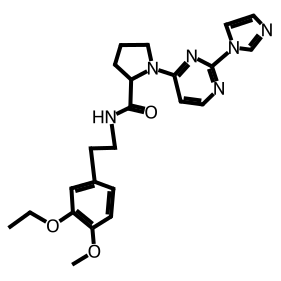 CCOc1cc(CCNC(=O)C2CCCN2c2ccnc(-n3ccnc3)n2)ccc1OC